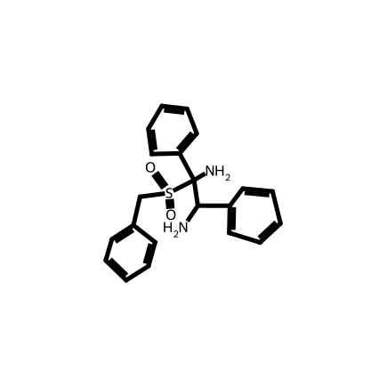 NC(c1ccccc1)C(N)(c1ccccc1)S(=O)(=O)Cc1ccccc1